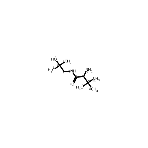 CC(C)(O)CNC(=O)C(N)C(C)(C)C